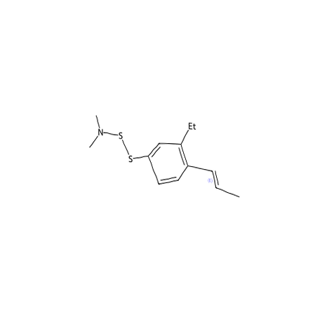 C/C=C/c1ccc(SSN(C)C)cc1CC